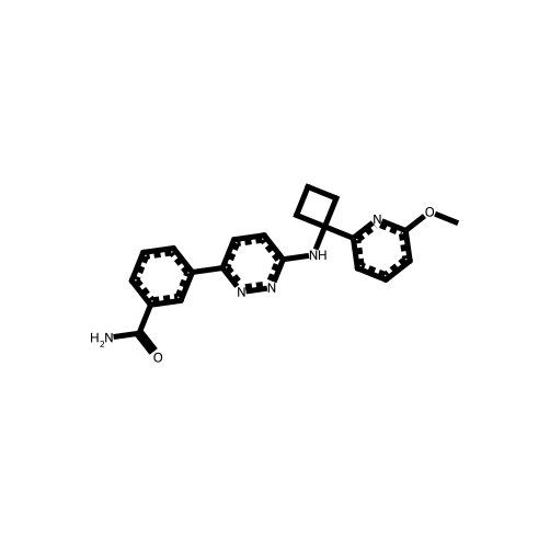 COc1cccc(C2(Nc3ccc(-c4cccc(C(N)=O)c4)nn3)CCC2)n1